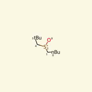 CCCCC[S+]([O-])CC(C)(C)C